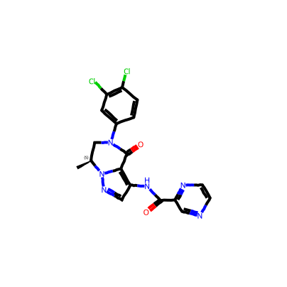 C[C@H]1CN(c2ccc(Cl)c(Cl)c2)C(=O)c2c(NC(=O)c3cnccn3)cnn21